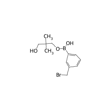 CC(C)(CO)COB(O)c1cccc(CBr)c1